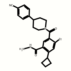 CCc1cc(C2CCC2)c(C(=O)NN)cc1C(=O)N1CCC(c2ccc(C#N)cc2)CC1